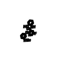 CSc1cccc(Oc2ncc(F)cc2C(=O)NC2CCCCC2O)c1